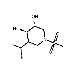 CS(=O)(=O)N1CC(C(F)F)[C@@H](O)[C@H](O)C1